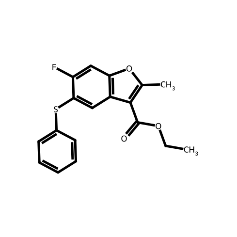 CCOC(=O)c1c(C)oc2cc(F)c(Sc3ccccc3)cc12